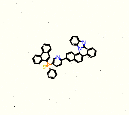 S=P(c1ccccc1)(c1ccc(-c2ccc3c(ccc4c5ccccc5c5nc6ccccc6n5c34)c2)nc1)c1cc2ccccc2c2ccccc12